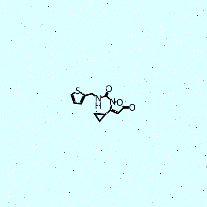 O=C(NCc1cccs1)n1oc(=O)cc1C1CC1